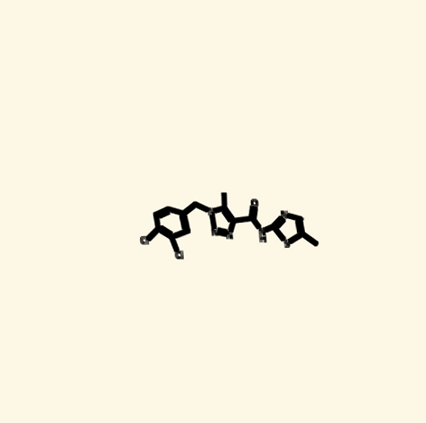 Cc1[c]nc(NC(=O)c2nnn(Cc3ccc(Cl)c(Cl)c3)c2C)s1